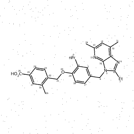 CCCc1cc(Cn2c(CC)nc3c(C)cc(C)nc32)ccc1OCc1ccc(C(=O)O)cc1C